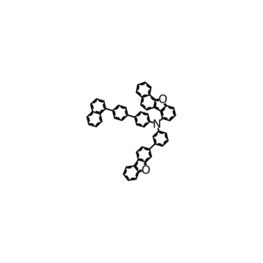 c1cc(-c2ccc3c(c2)oc2ccccc23)cc(N(c2ccc(-c3ccc(-c4cccc5ccccc45)cc3)cc2)c2cccc3oc4c5ccccc5ccc4c23)c1